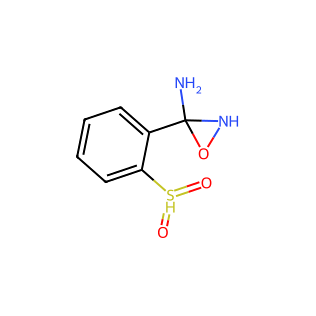 NC1(c2ccccc2[SH](=O)=O)NO1